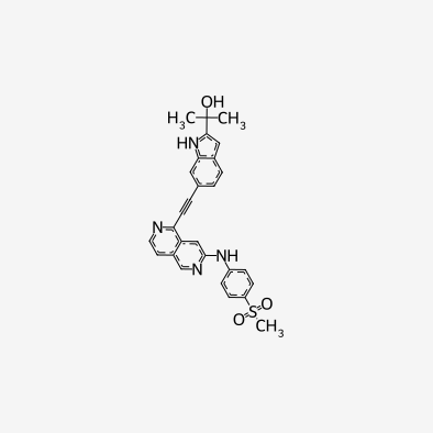 CC(C)(O)c1cc2ccc(C#Cc3nccc4cnc(Nc5ccc(S(C)(=O)=O)cc5)cc34)cc2[nH]1